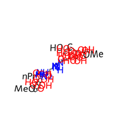 CCCC(CC(N)=O)OC1C[C@](O)(/C(CO)=N/NC(=O)CCCCCn2cc(CNC(=O)CCCCCO[C@H]3[C@H](O)[C@@H](O)[C@@H](O[C@H]4O[C@H](OC)[C@H](O)[C@@H](O)[C@@H]4OCCCCCC(=O)O)C[C@@H]3O[C@H]3O[C@H](CO)[C@@H](O)[C@H](O)[C@H]3O)nn2)Cc2c(O)c3c(c(O)c21)C(=O)c1c(OC)cccc1C3=O